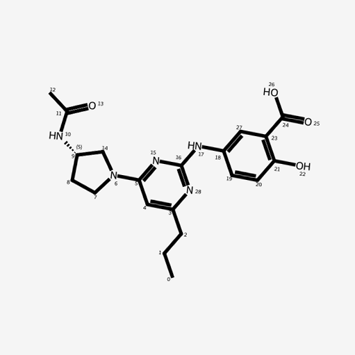 CCCc1cc(N2CC[C@H](NC(C)=O)C2)nc(Nc2ccc(O)c(C(=O)O)c2)n1